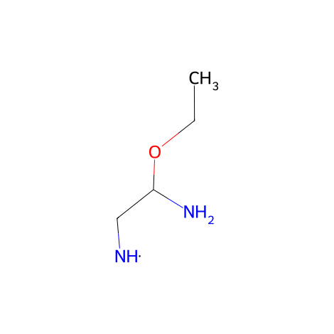 CCOC(N)C[NH]